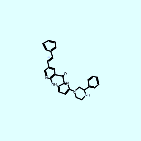 Nc1ncc(/C=C/c2ccccc2)cc1C(=O)c1cccc(N2CCNC(c3ccccc3)C2)n1